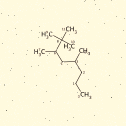 CCCC(C)CC(C)C(C)(C)C